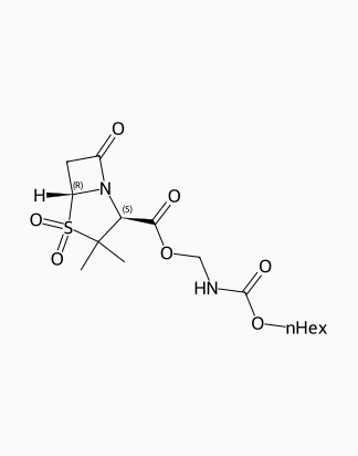 CCCCCCOC(=O)NCOC(=O)[C@@H]1N2C(=O)C[C@H]2S(=O)(=O)C1(C)C